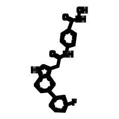 O=C(Cc1c[nH]c2ccc(-c3cccc(F)c3)cc12)Nc1ccc(C(=O)NO)cc1